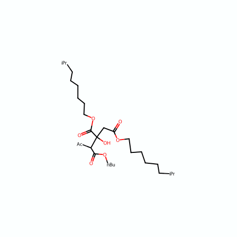 CCCCOC(=O)C(C(C)=O)C(O)(CC(=O)OCCCCCCC(C)C)C(=O)OCCCCCCC(C)C